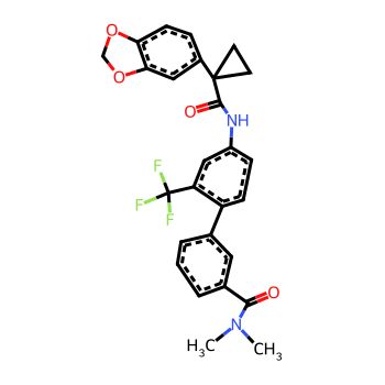 CN(C)C(=O)c1cccc(-c2ccc(NC(=O)C3(c4ccc5c(c4)OCO5)CC3)cc2C(F)(F)F)c1